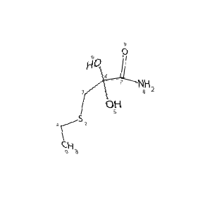 CCSCC(O)(O)C(N)=O